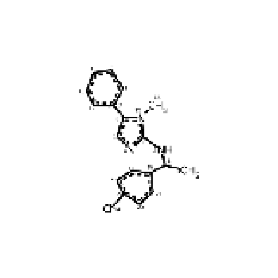 CC(Nc1ncc(-c2ccccc2)n1C)c1ccc(Cl)cc1